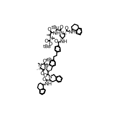 C[C@@H](C(=O)NC(C(=O)N1C[C@@H](NC(=O)c2ccc(CCc3ccc(C[C@H](NC(=O)[C@H](C)N(C)C(=O)OC(C)(C)C)C(=O)N4Cc5ccccc5C[C@H]4C(=O)N[C@@H]4CCCc5ccccc54)cc3)cc2)C[C@H]1C(=O)N[C@@H]1CCCc2ccccc21)C(C)(C)C)N(C)C(=O)OC(C)(C)C